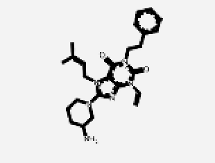 C=Cn1c(=O)n(CCc2ccccc2)c(=O)c2c1nc(N1CCCC(N)C1)n2CC=C(C)C